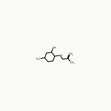 C=C(C)CNC1CCC(C)CC1O